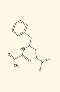 CC(=O)C(=O)NC(CO[N+](=O)[O-])Cc1ccccc1